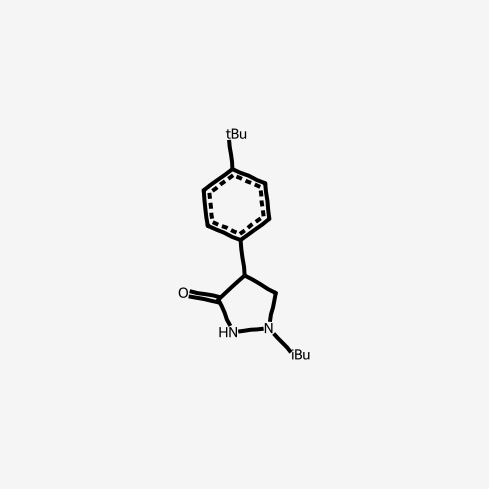 CCC(C)N1CC(c2ccc(C(C)(C)C)cc2)C(=O)N1